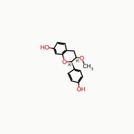 CO[C@@H]1Cc2ccc(O)cc2O[C@@H]1c1ccc(O)cc1